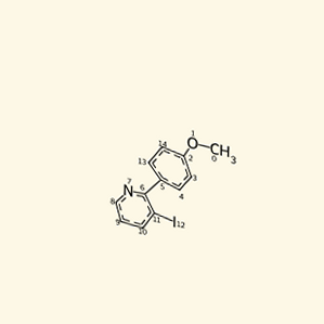 COc1ccc(-c2ncccc2I)cc1